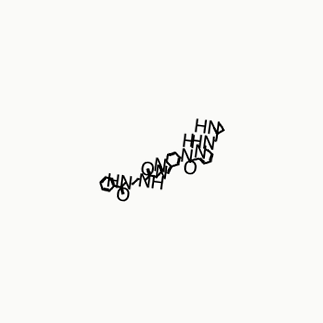 O=C(Cn1cc2cc(NC(=O)c3cccc(NCC4CCN4)n3)ccc2n1)NCCNC(=O)c1ccccc1